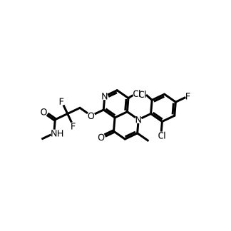 CNC(=O)C(F)(F)COc1ncc(Cl)c2c1c(=O)cc(C)n2-c1c(Cl)cc(F)cc1Cl